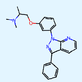 CC(COc1cccc(-n2nc(-c3ccccc3)c3cccnc32)c1)N(C)C